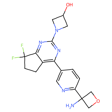 NC1(c2ccc(-c3nc(N4CC(O)C4)nc4c3CCC4(F)F)cn2)COC1